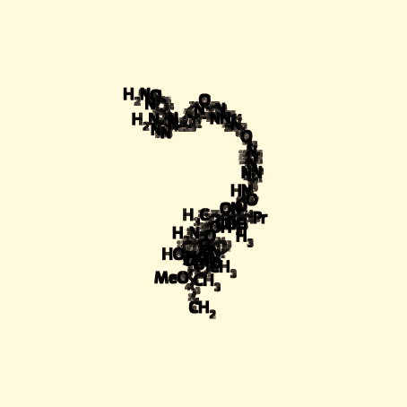 C=C/C=C/C=C(\C)[C@H](C[C@@H]1CC[C@@H](C)[C@](O)(C(=O)C(=O)N2CCCC[C@H]2C(=O)O[C@@H](C[C@@H](O)[C@H](C)/C=C(\C)[C@@H](O)[C@@H](O)/C(=N/OCC(=O)NCc2cnc(N3CCN(CCOCCN4CCN(c5ncc(C(=O)N6CCc7cc(Cn8nc(-c9ccc%10oc(N)nc%10c9)c9c(N)ncnc98)ccc7C6)cn5)CC4)CC3)nc2)[C@H](C)CC(C)C)[C@H](N)C[C@@H]2CC[C@@H](O)[C@H](OC)C2)O1)OC